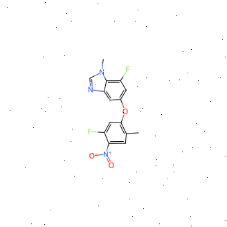 Cc1cc([N+](=O)[O-])c(F)cc1Oc1cc(F)c2c(c1)ncn2C